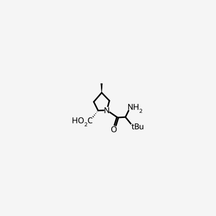 C[C@@H]1C[C@@H](C(=O)O)N(C(=O)C(N)C(C)(C)C)C1